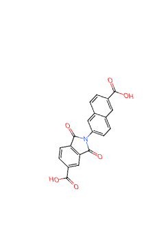 O=C(O)c1ccc2c(c1)C(=O)N(c1ccc3cc(C(=O)O)ccc3c1)C2=O